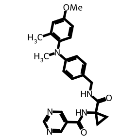 COc1ccc(N(C)c2ccc(CNC(=O)C3(NC(=O)c4cncnc4)CC3)cc2)c(C)c1